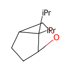 CC(C)C1(C(C)C)C2CCC1OC2